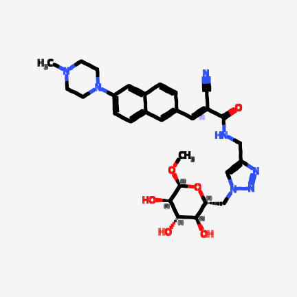 CO[C@H]1O[C@H](Cn2cc(CNC(=O)/C(C#N)=C/c3ccc4cc(N5CCN(C)CC5)ccc4c3)nn2)[C@@H](O)[C@H](O)[C@H]1O